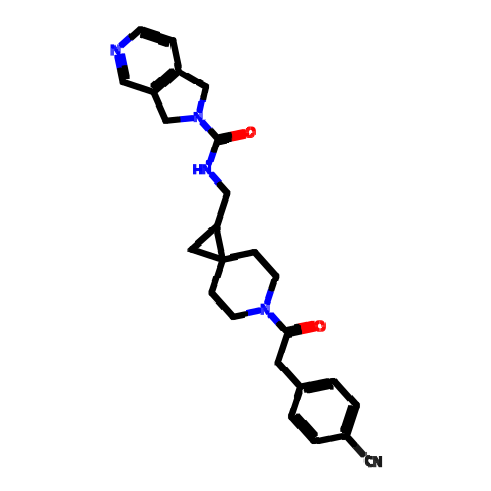 N#Cc1ccc(CC(=O)N2CCC3(CC2)CC3CNC(=O)N2Cc3ccncc3C2)cc1